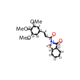 COc1cc(/C=C/C(=O)n2sc3ccccc3c2=O)cc(OC)c1OC